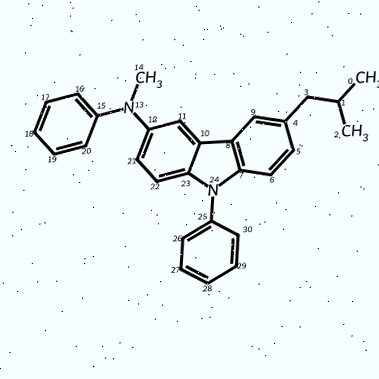 CC(C)Cc1ccc2c(c1)c1cc(N(C)c3ccccc3)ccc1n2-c1ccccc1